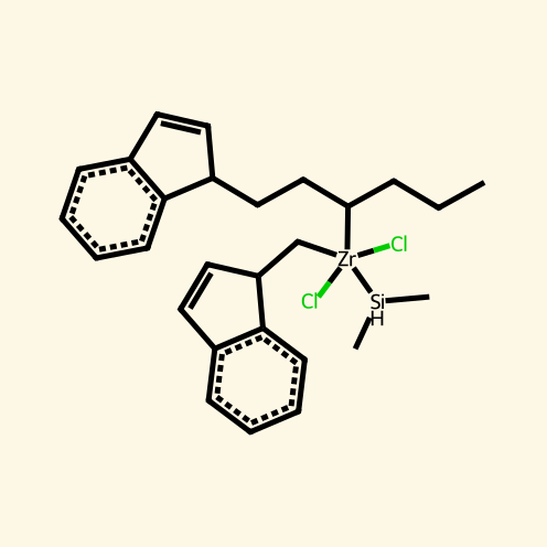 CCC[CH](CCC1C=Cc2ccccc21)[Zr]([Cl])([Cl])([CH2]C1C=Cc2ccccc21)[SiH](C)C